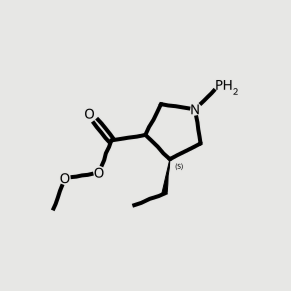 CC[C@@H]1CN(P)CC1C(=O)OOC